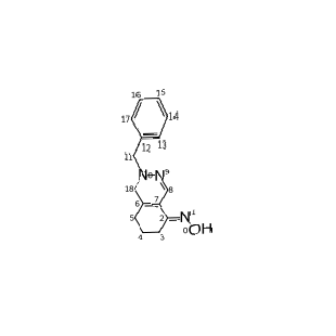 O/N=C1\CCCC2=C1C=NN(Cc1ccccc1)C2